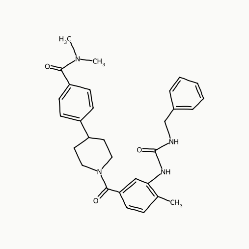 Cc1ccc(C(=O)N2CCC(c3ccc(C(=O)N(C)C)cc3)CC2)cc1NC(=O)NCc1ccccc1